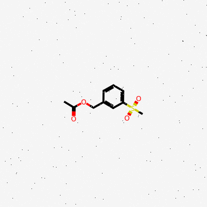 CC(=O)OCc1cccc(S(C)(=O)=O)c1